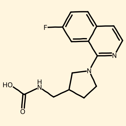 O=C(O)NCC1CCN(c2nccc3ccc(F)cc23)C1